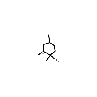 CC1CCC(C)(C(F)(F)F)[C@@H](C)C1